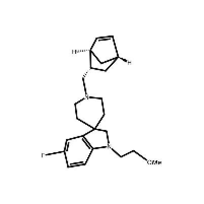 COCCN1CC2(CCN(C[C@H]3C[C@H]4C=C[C@H]3C4)CC2)c2cc(F)ccc21